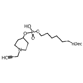 C#CCN1CCC(OP(=O)(O)OCCCCCCCCCCCCCCCC)CC1